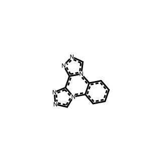 c1ccc2c(c1)n1cnnc1c1nncn21